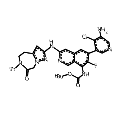 CC(C)N1CCc2cc(Nc3cc4cc(-c5cncc(N)c5Cl)c(F)c(NC(=O)OC(C)(C)C)c4cn3)nn2CC1=O